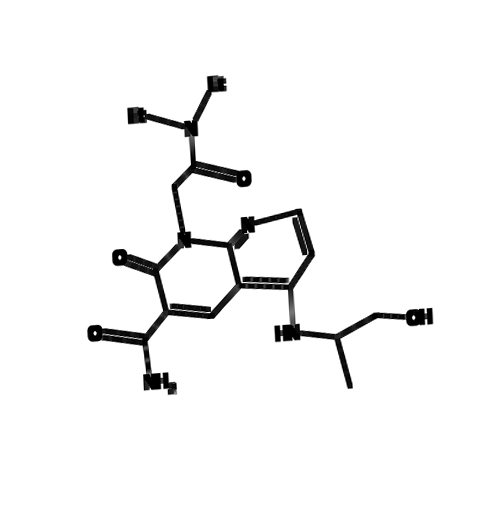 CCN(CC)C(=O)Cn1c(=O)c(C(N)=O)cc2c(NC(C)CO)ccnc21